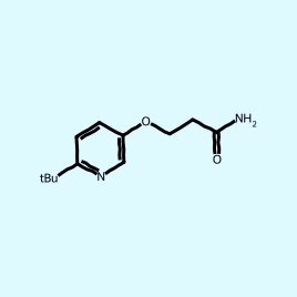 CC(C)(C)c1ccc(OCCC(N)=O)cn1